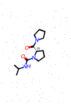 CC(C)NC(=O)N1CCC[C@H]1C(=O)N1CCCC1